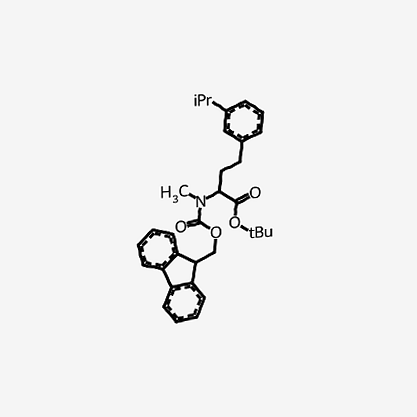 CC(C)c1cccc(CCC(C(=O)OC(C)(C)C)N(C)C(=O)OCC2c3ccccc3-c3ccccc32)c1